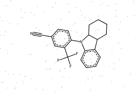 N#Cc1ccc(N2c3ccccc3C3CCCCC32)c(C(F)(F)F)c1